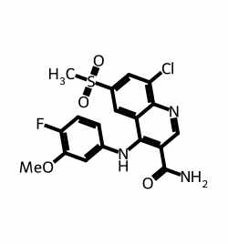 COc1cc(Nc2c(C(N)=O)cnc3c(Cl)cc(S(C)(=O)=O)cc23)ccc1F